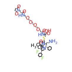 CC(C)(C)[C@H](c1cc(-c2cc(F)ccc2F)cn1Cc1ccccc1)N(CCCN)C(=O)CSC[C@@H](NC(=O)CCOCCOCCOCCOCCNC(=O)CCN1C(=O)C=CC1=O)C(=O)O